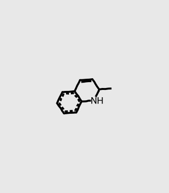 C[C]1C=Cc2ccccc2N1